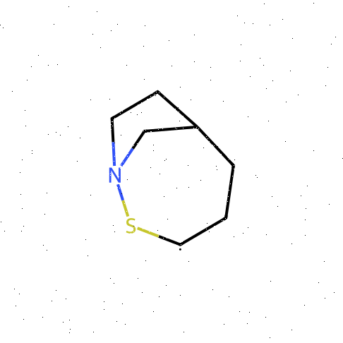 [CH]1CCC2CCN(C2)S1